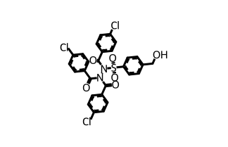 O=C(c1ccc(Cl)cc1)N(C(=O)c1ccc(Cl)cc1)N(C(=O)c1ccc(Cl)cc1)S(=O)(=O)c1ccc(CO)cc1